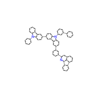 c1ccc(-c2cccc(-n3c4ccc(-c5cccc(-c6cc7cccc8c7c(n6)-c6ccccc6-8)c5)cc4c4cc(-c5ccc6c(c5)c5ccccc5n6-c5ccccc5)ccc43)c2)cc1